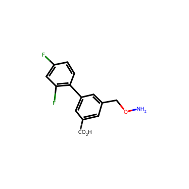 NOCc1cc(C(=O)O)cc(-c2ccc(F)cc2F)c1